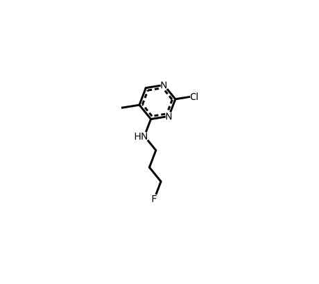 Cc1cnc(Cl)nc1NCCCF